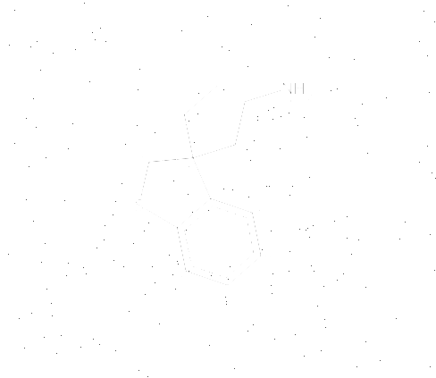 CCC1(CCN)CSc2ccccc21